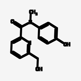 CN(C(=O)c1cccc(CO)n1)c1ccc(O)cc1